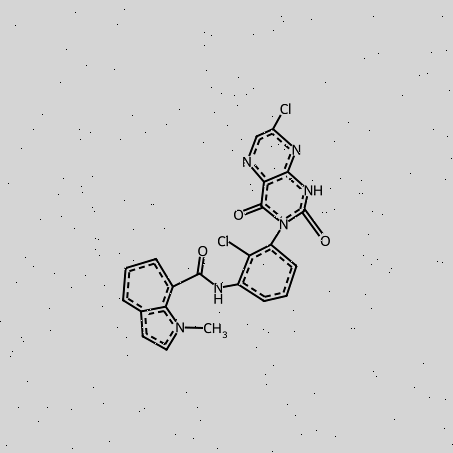 Cn1ccc2cccc(C(=O)Nc3cccc(-n4c(=O)[nH]c5nc(Cl)cnc5c4=O)c3Cl)c21